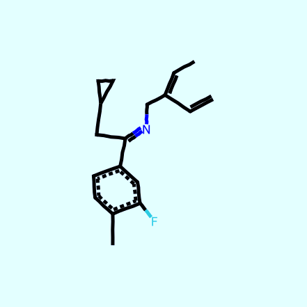 C=C/C(=C\C)C/N=C(\CC1CC1)c1ccc(C)c(F)c1